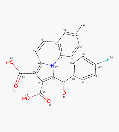 Cc1ccc2c(ccc3c(C(=O)O)c(C(=O)O)c(C(=O)c4ccc(F)cc4)n32)c1